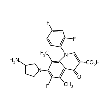 Cc1c(F)c(N2CCC(N)C2)c(C(F)(F)F)c2c1c(=O)c(C(=O)O)cn2-c1ccc(F)cc1F